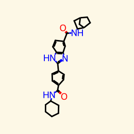 O=C(NC1CCCCC1)c1ccc(-c2nc3cc(C(=O)NC4CC5CCC4C5)ccc3[nH]2)cc1